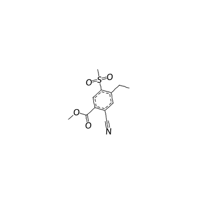 CCc1cc(C#N)c(C(=O)OC)cc1S(C)(=O)=O